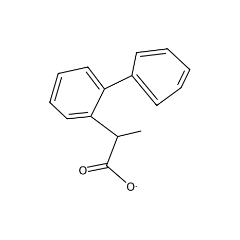 CC(C([O])=O)c1ccccc1-c1ccccc1